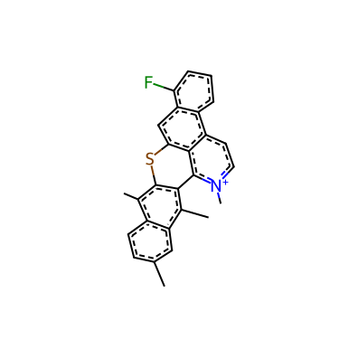 Cc1ccc2c(C)c3c(c(C)c2c1)-c1c2c(cc4c(F)cccc4c2cc[n+]1C)S3